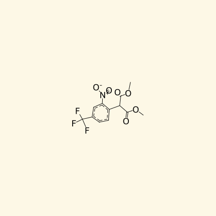 COC(=O)C(C(=O)OC)c1ccc(C(F)(F)F)cc1[N+](=O)[O-]